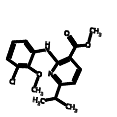 COC(=O)c1ccc(C(C)C)nc1Nc1cccc(Cl)c1OC